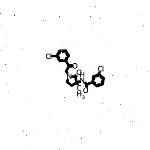 CC1(NC(=O)c2cccc(Cl)c2)CCN(CC(=O)c2cccc(Cl)c2)C1=O